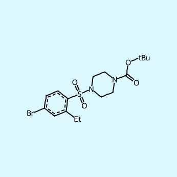 CCc1cc(Br)ccc1S(=O)(=O)N1CCN(C(=O)OC(C)(C)C)CC1